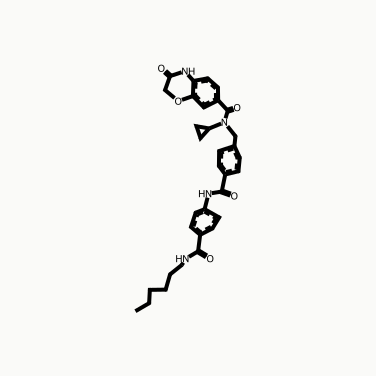 CCCCCCNC(=O)c1ccc(NC(=O)c2ccc(CN(C(=O)c3ccc4c(c3)OCC(=O)N4)C3CC3)cc2)cc1